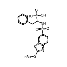 CCCCSc1nc2ccc(S(=O)(=O)NC(Cc3ccccc3)P(=O)(O)O)cc2s1